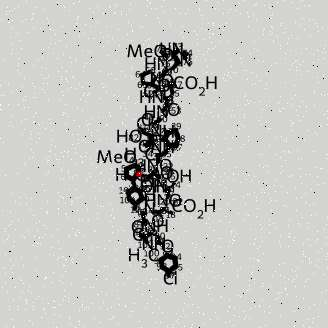 CCc1cc(OC)ccc1-c1ccc(C[C@H](NC(=O)[C@H](CC(=O)O)NC(=O)[C@H](CO)NC(=O)[C@@H](NC(=O)C(C)(Cc2ccccc2F)NC(=O)[C@@H](NC(=O)CNC(=O)[C@H](CCC(=O)O)NC(=O)C2(C)CCCN2C(=O)[C@H](Cc2c[nH]cn2)NC(=O)OC)[C@@H](C)O)[C@@H](C)O)C(=O)N[C@@H](CCOc2ccc(Cl)cc2C)C(N)=O)cc1